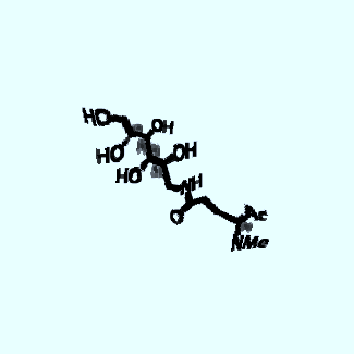 CN[C@@H](CCC(=O)NC[C@H](O)[C@@H](O)[C@H](O)[C@H](O)CO)C(C)=O